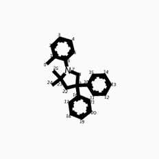 Cc1ccccc1N1CC(c2ccccc2)(c2ccccc2)CC1(C)C